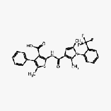 Cc1sc(NC(=O)c2cc(C)n(-c3ccccc3C(F)(F)F)c2C)c(C(=O)O)c1-c1ccccc1